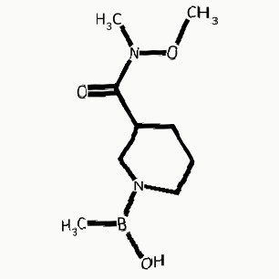 CON(C)C(=O)C1CCCN(B(C)O)C1